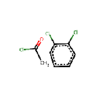 CC(=O)Cl.Clc1ccccc1Cl